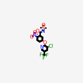 CS(C)(=O)=NC(=O)c1cc(Oc2ncc(C(F)(F)F)cc2Cl)ccc1[N+](=O)[O-]